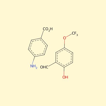 Nc1ccc(C(=O)O)cc1.O=Cc1cc(OC(F)(F)F)ccc1O